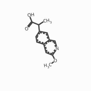 COc1cc2ccc(C(C)C(=O)O)cc2cn1